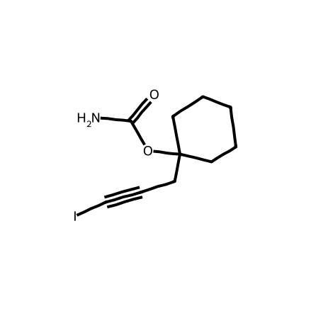 NC(=O)OC1(CC#CI)CCCCC1